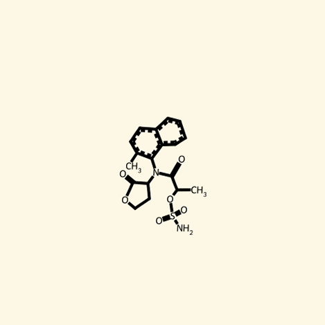 Cc1ccc2ccccc2c1N(C(=O)C(C)OS(N)(=O)=O)C1CCOC1=O